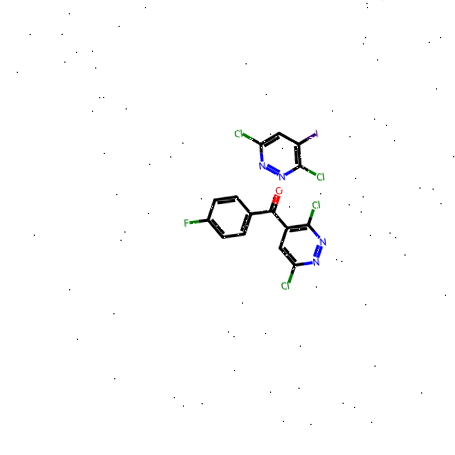 Clc1cc(I)c(Cl)nn1.O=C(c1ccc(F)cc1)c1cc(Cl)nnc1Cl